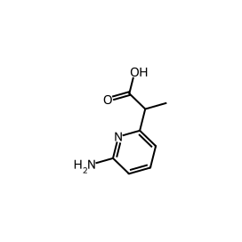 CC(C(=O)O)c1cccc(N)n1